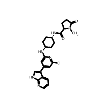 CN1C(=O)CCC1C(=O)N[C@H]1CC[C@H](Nc2cc(-c3c[nH]c4ncccc34)cc(Cl)n2)CC1